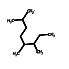 [CH2]C(C)CCC(C)C(C)CC